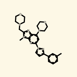 Cc1cccc(-c2ccn(-c3cc(N4CCOCC4)c4nc(CN5CCOCC5)n(C)c4n3)n2)c1